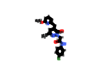 COc1cccc(Cc2cc(C)nn(CC(=O)Nc3ccc(Cl)cc3)c2=O)n1